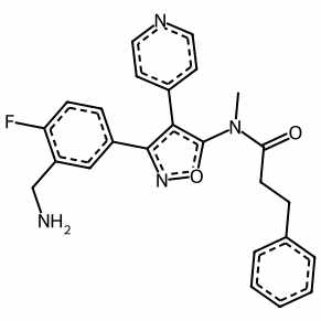 CN(C(=O)CCc1ccccc1)c1onc(-c2ccc(F)c(CN)c2)c1-c1ccncc1